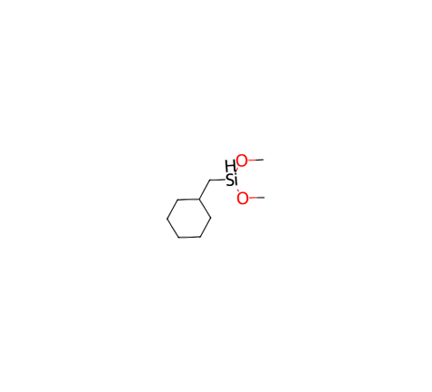 CO[SiH](CC1CCCCC1)OC